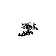 [2H]C([2H])(c1ccc(OC(C)C)cc1)c1c(O[C@@H]2O[C@H](COC(=O)OCC)[C@@H](O)[C@H](O)[C@H]2O)nn(C(C)C)c1C